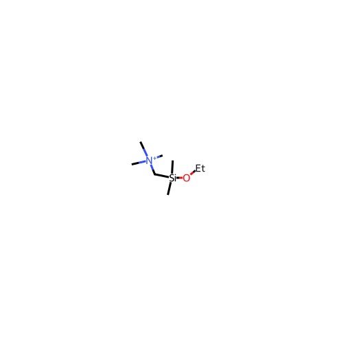 CCO[Si](C)(C)C[N+](C)(C)C